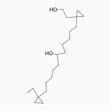 CCC1(CCCCCC(O)CCCCCC2(CCO)CC2)CC1